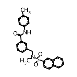 Cc1ccc(NC(=O)c2cccc(CN(C)S(=O)(=O)c3ccc4ccccc4c3)c2)cc1